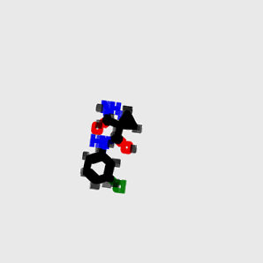 NC(=O)C1(C(=O)Nc2cccc(Cl)c2)CC1